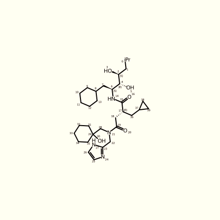 CC(C)C[C@H](O)[C@H](O)[C@H](CC1CCCCC1)NC(=O)[C@@H](CC(=O)N(Cc1ncc[nH]1)CC1(O)CCCCC1)CC1CC1